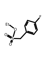 CCOS(=O)(=O)Cc1ccc(F)cc1